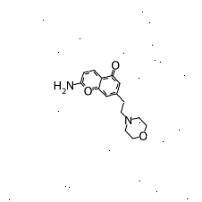 Nc1ccc2c(=O)cc(CCN3CCOCC3)cc-2o1